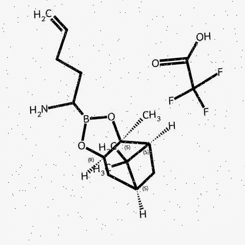 C=CCCC(N)B1O[C@@H]2C[C@@H]3C[C@@H](C3(C)C)[C@]2(C)O1.O=C(O)C(F)(F)F